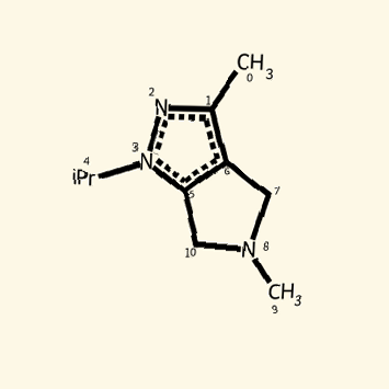 Cc1nn(C(C)C)c2c1CN(C)C2